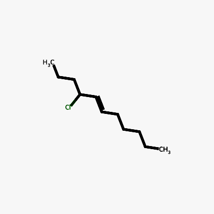 CCCCCC=CC(Cl)CCC